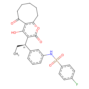 CC[C@H](c1cccc(NS(=O)(=O)c2ccc(F)cc2)c1)c1c(O)c2c(oc1=O)CCCCCC2=O